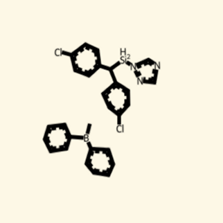 CB(c1ccccc1)c1ccccc1.Clc1ccc(C([SiH2]n2cncn2)c2ccc(Cl)cc2)cc1